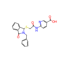 O=C(CSC1c2ccccc2C(=O)N1Cc1ccccc1)Nc1ccc(C(=O)O)cn1